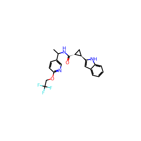 CC(NC(=O)[C@@H]1C[C@H]1c1cc2ccccc2[nH]1)c1ccc(OCC(F)(F)F)nc1